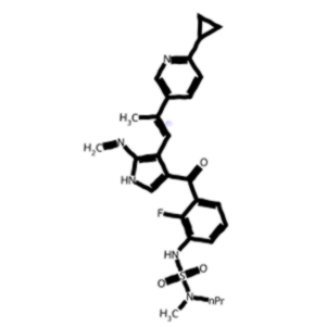 C=Nc1[nH]cc(C(=O)c2cccc(NS(=O)(=O)N(C)CCC)c2F)c1/C=C(\C)c1ccc(C2CC2)nc1